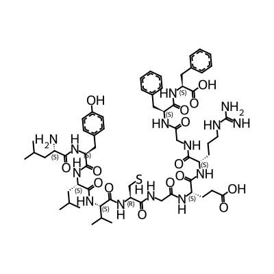 CC(C)C[C@H](NC(=O)[C@H](Cc1ccc(O)cc1)NC(=O)[C@@H](N)CC(C)C)C(=O)N[C@H](C(=O)N[C@@H](CS)C(=O)NCC(=O)N[C@@H](CCC(=O)O)C(=O)N[C@@H](CCCNC(=N)N)C(=O)NCC(=O)N[C@@H](Cc1ccccc1)C(=O)N[C@@H](Cc1ccccc1)C(=O)O)C(C)C